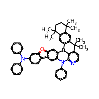 CC1(C)CCC(C)(C)c2cc3c(cc21)B1c2cc4oc5cc(N(c6ccccc6)c6ccccc6)ccc5c4cc2N(c2ccccc2)c2nccc(c21)C3(C)C